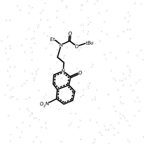 CCN(CCn1ccc2c([N+](=O)[O-])cccc2c1=O)C(=O)OC(C)(C)C